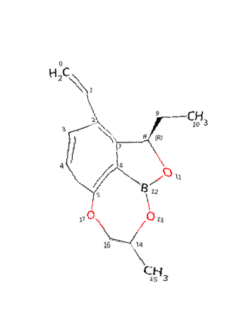 C=Cc1ccc2c3c1[C@@H](CC)OB3OC(C)CO2